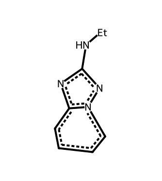 CCNc1nc2ccccn2n1